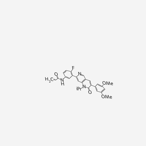 C=CC(=O)Nc1ccc(F)c(-c2cc3c(cn2)cc(-c2cc(OC)cc(OC)c2)c(=O)n3C(C)C)c1